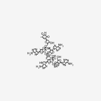 Cc1cn([C@H]2C[C@H](O)[C@@H](COP(=O)(S)O[C@H]3[C@@H](C)[C@H](n4cnc5c(N)ncnc54)O[C@@H]3COP(=O)(S)O[C@H]3[C@@H](F)[C@H](n4cnc5c(N)ncnc54)O[C@@H]3COP(=O)(S)O[C@H]3[C@@H](F)[C@H](N4CNc5c(N)ncnc54)O[C@@H]3COP(=O)(S)O[C@H]3[C@@H](F)[C@H](n4cnc5c(N)ncnc54)O[C@@H]3CO)O2)c(=O)[nH]c1=O